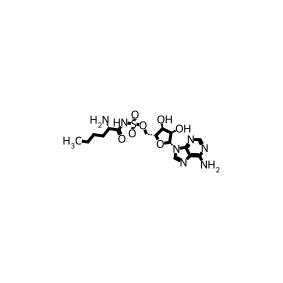 CCCC[C@H](N)C(=O)NS(=O)(=O)OC[C@H]1O[C@@H](n2cnc3c(N)ncnc32)[C@H](O)[C@@H]1O